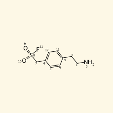 NCCc1ccc(CS(=O)(=O)F)cc1